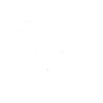 C#C/C=C\c1c(C)[nH]c2c1CC(C)N(C1CCOCC1)C2C12CC(/C=C/C(=O)O)(C1)C2